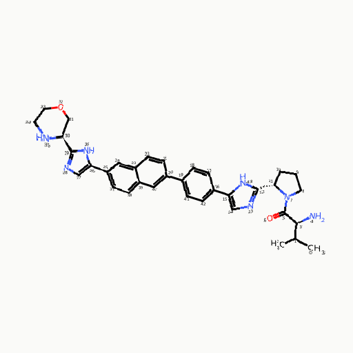 CC(C)[C@H](N)C(=O)N1CCC[C@H]1c1ncc(-c2ccc(-c3ccc4cc(-c5cnc([C@@H]6COCCN6)[nH]5)ccc4c3)cc2)[nH]1